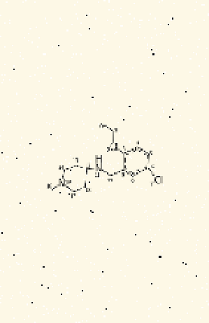 CCOc1ccc(Cl)cc1CNC1CCN(C)CC1